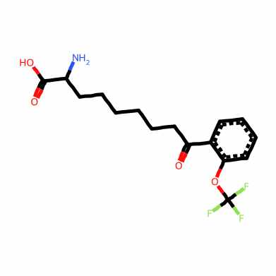 NC(CCCCCCC(=O)c1ccccc1OC(F)(F)F)C(=O)O